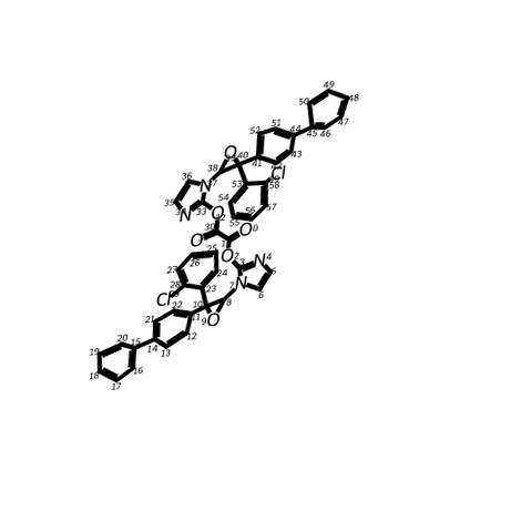 O=C(Oc1nccn1C1OC1(c1ccc(-c2ccccc2)cc1)c1ccccc1Cl)C(=O)Oc1nccn1C1OC1(c1ccc(-c2ccccc2)cc1)c1ccccc1Cl